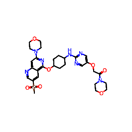 CS(=O)(=O)c1cnc2cc(N3CCOCC3)nc(OC3CCC(Nc4ncc(OCC(=O)N5CCOCC5)cn4)CC3)c2c1